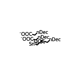 CC(C)[CH2][Sn+3].CCCCCCCCCCCC(=O)[O-].CCCCCCCCCCCC(=O)[O-].CCCCCCCCCCCC(=O)[O-]